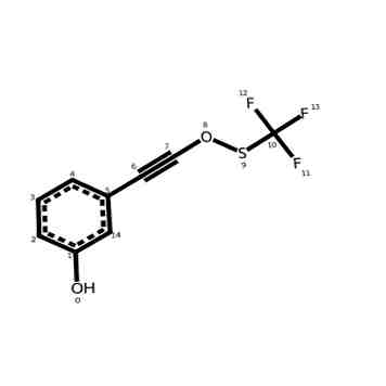 Oc1cccc(C#COSC(F)(F)F)c1